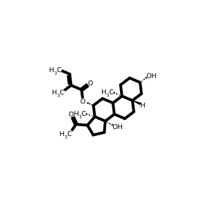 C/C=C(\C)C(=O)O[C@@H]1CC2C(CC[C@H]3C[C@@H](O)CC[C@]23C)[C@@]2(O)CCC(C(C)=O)[C@@]12C